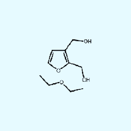 CCOCC.OCc1ccoc1CO